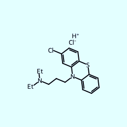 CCN(CC)CCCN1c2ccccc2Sc2ccc(Cl)cc21.[Cl-].[H+]